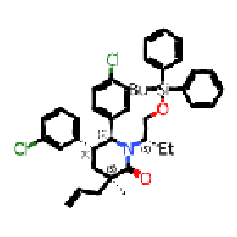 C=CC[C@@]1(C)C[C@H](c2cccc(Cl)c2)[C@@H](c2ccc(Cl)cc2)N([C@@H](CC)CO[Si](c2ccccc2)(c2ccccc2)C(C)(C)C)C1=O